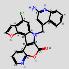 Nc1cc(Cn2c3cc(F)c4ccoc4c3c3c4cccnc4oc(=O)c32)c2ccccc2n1